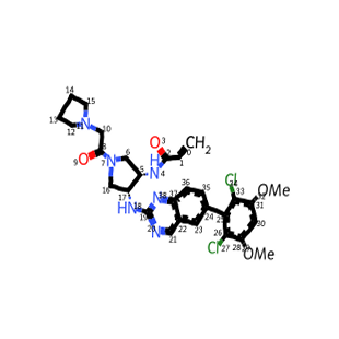 C=CC(=O)N[C@H]1CN(C(=O)CN2CCCC2)C[C@H]1Nc1ncc2cc(-c3c(Cl)c(OC)cc(OC)c3Cl)ccc2n1